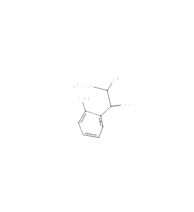 CCCCCCC(c1ccccc1O)C(CCC)CCCCC